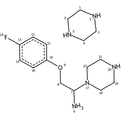 C1CNCCN1.NC(COc1ccc(F)cc1)N1CCNCC1